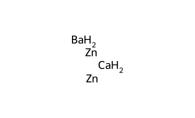 [BaH2].[CaH2].[Zn].[Zn]